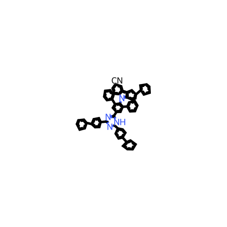 N#Cc1ccc2c(c1)c1cc(-c3ccccc3)ccc1n2-c1c(-c2ccccc2)cc(C2=NC(c3ccc(-c4ccccc4)cc3)=NC(c3ccc(-c4ccccc4)cc3)N2)cc1-c1ccccc1